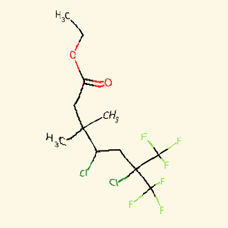 CCOC(=O)CC(C)(C)C(Cl)CC(Cl)(C(F)(F)F)C(F)(F)F